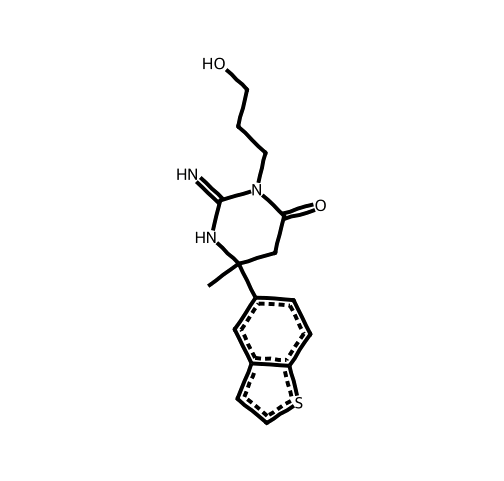 CC1(c2ccc3sccc3c2)CC(=O)N(CCCO)C(=N)N1